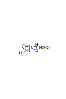 Cc1nc(N2C[C@H]3CN(C=O)C[C@H]3C2)nc2c1CCC2